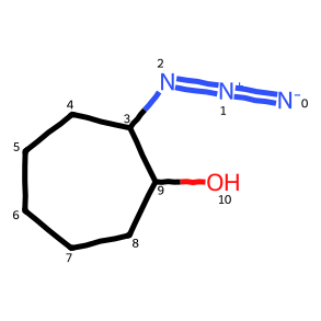 [N-]=[N+]=NC1CCCCCC1O